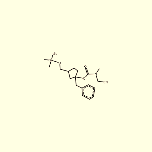 CN(CC#N)C(=O)OC1(Cc2ccccc2)CCC(CO[Si](C)(C)C(C)(C)C)C1